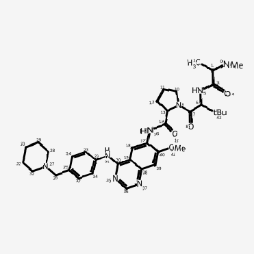 CNC(C)C(=O)NC(C(=O)N1CCCC1C(=O)Nc1cc2c(Nc3ccc(CN4CCCCC4)cc3)ncnc2cc1OC)C(C)(C)C